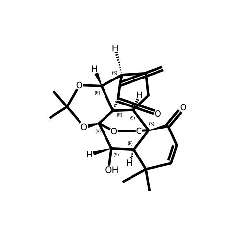 C=C1C(=O)[C@@]23[C@@H]4OC(C)(C)O[C@]25OC[C@]2(C(=O)C=CC(C)(C)[C@H]2[C@@H]5O)[C@@H]3CC[C@@H]14